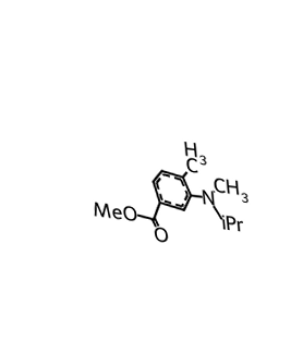 COC(=O)c1ccc(C)c(N(C)C(C)C)c1